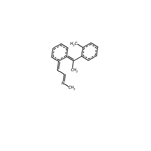 C/N=C/C=c1/cccc/c1=C(/C)c1ccccc1C